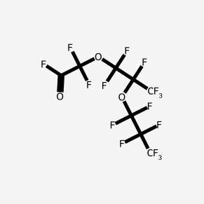 O=C(F)C(F)(F)OC(F)(F)C(F)(OC(F)(F)C(F)(F)C(F)(F)F)C(F)(F)F